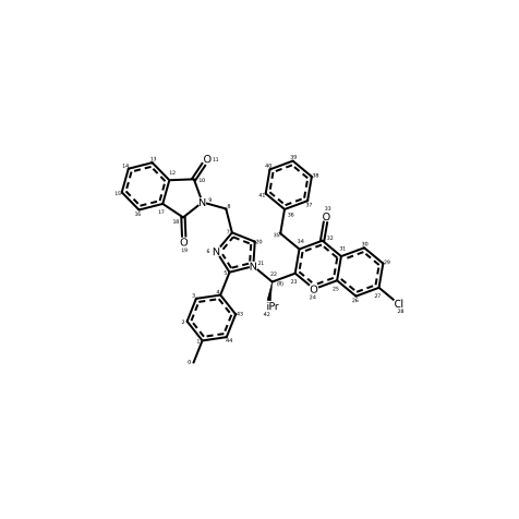 Cc1ccc(-c2nc(CN3C(=O)c4ccccc4C3=O)cn2[C@@H](c2oc3cc(Cl)ccc3c(=O)c2Cc2ccccc2)C(C)C)cc1